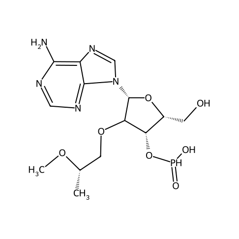 CO[C@@H](C)COC1[C@@H](O[PH](=O)O)[C@@H](CO)O[C@H]1n1cnc2c(N)ncnc21